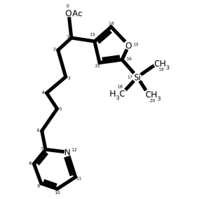 CC(=O)OC(CCCCCc1ccccn1)c1coc([Si](C)(C)C)c1